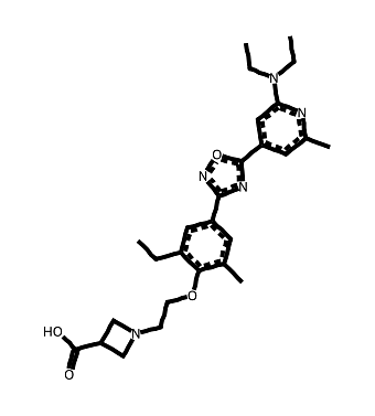 CCc1cc(-c2noc(-c3cc(C)nc(N(CC)CC)c3)n2)cc(C)c1OCCN1CC(C(=O)O)C1